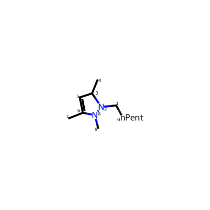 CCCCCCN1C(C)C=C(C)N1C